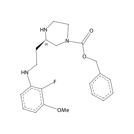 COc1cccc(NCC[C@@H]2CN(C(=O)OCc3ccccc3)CCN2)c1F